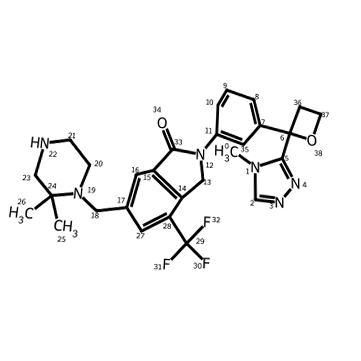 Cn1cnnc1C1(c2cccc(N3Cc4c(cc(CN5CCNCC5(C)C)cc4C(F)(F)F)C3=O)c2)CCO1